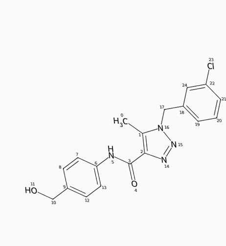 Cc1c(C(=O)Nc2ccc(CO)cc2)nnn1Cc1cccc(Cl)c1